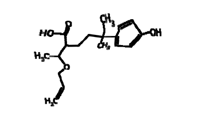 C=CCOC(C)C(CCC(C)(C)c1ccc(O)cc1)C(=O)O